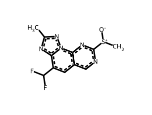 Cc1nc2c(C(F)F)cc3cnc([S+](C)[O-])nc3n2n1